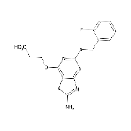 Nc1nc2nc(SCc3ccccc3F)nc(OCCC(=O)O)c2s1